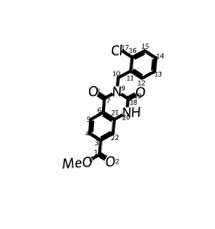 COC(=O)c1ccc2c(=O)n(Cc3ccccc3Cl)c(=O)[nH]c2c1